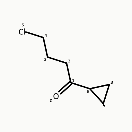 O=C(CCCCl)C1CC1